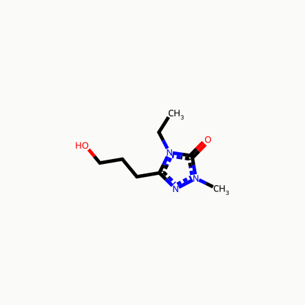 CCn1c(CCCO)nn(C)c1=O